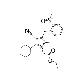 CCOC(=O)Cn1c(C)c(Cc2ccccc2[S+](C)[O-])c(C#N)c1C1CCCCC1